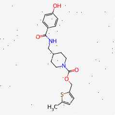 Cc1ccc(COC(=O)N2CCC(CNC(=O)c3ccc(O)cc3)CC2)s1